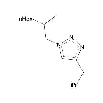 CCCCCCC(C)Cn1cc(CC(C)C)nn1